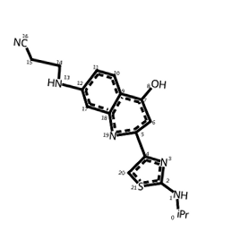 CC(C)Nc1nc(-c2cc(O)c3ccc(NCCC#N)cc3n2)cs1